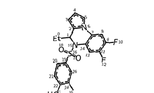 CCC1c2cccn2-c2cc(F)c(F)cc2N1S(=O)(=O)c1ccc(O)c(C)c1